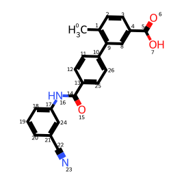 Cc1ccc(C(=O)O)cc1-c1ccc(C(=O)Nc2cccc(C#N)c2)cc1